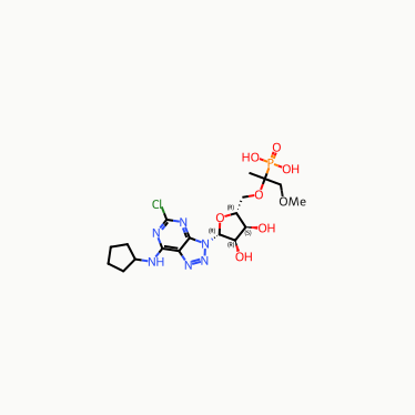 COCC(C)(OC[C@H]1O[C@@H](n2nnc3c(NC4CCCC4)nc(Cl)nc32)[C@H](O)[C@@H]1O)P(=O)(O)O